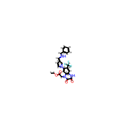 CCOC(=O)Cn1c(=O)c(=O)[nH]c2cc(C(F)(F)F)c(N3C=CC(=CNCc4ccccc4)C3)cc21